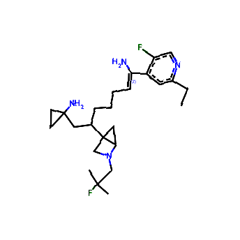 CCc1cc(/C(N)=C/CCCC(CC2(N)CC2)C23CC2N(CC(C)(C)F)C3)c(F)cn1